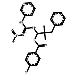 CC(C)(Cc1ccccc1)C(NC(=O)c1ccc(Cl)cc1)N/C(=N/[N+](=O)[O-])Nc1cccnc1